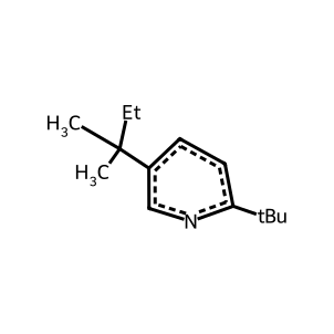 CCC(C)(C)c1ccc(C(C)(C)C)nc1